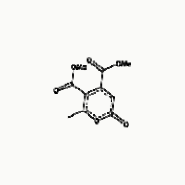 COC(=O)c1cc(=O)oc(C)c1C(=O)OC